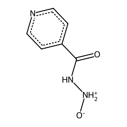 O=C(N[NH2+][O-])c1ccncc1